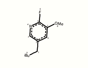 CCC(C)Cc1cnc(F)c(OC)c1